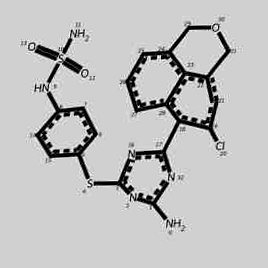 Nc1nc(Sc2ccc(NS(N)(=O)=O)cc2)nc(-c2c(Cl)cc3c4c(cccc24)COC3)n1